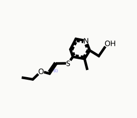 CCO/C=C/Sc1ccnc(CO)c1C